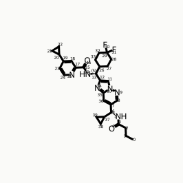 CCCC(=O)N[C@@H](c1cnn2cc([C@@H](NC(=O)c3cc(C4CC4)ccn3)C3CCC(F)(F)CC3)nc2c1)C1CC1